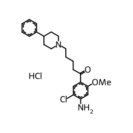 COc1cc(N)c(Cl)cc1C(=O)CCCCN1CCC(c2ccccc2)CC1.Cl